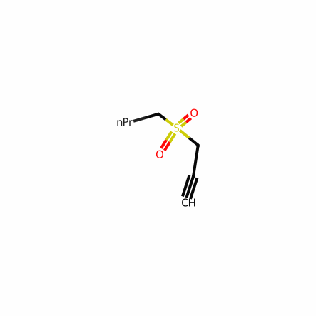 C#CCS(=O)(=O)CCCC